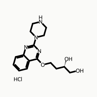 Cl.OC[C@@H](O)CCOc1nc(N2CCNCC2)nc2ccccc12